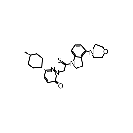 C[C@H]1CC[C@H](c2ccc(=O)n(CC(=S)N3CCc4c(N5CCOCC5)cccc43)n2)CC1